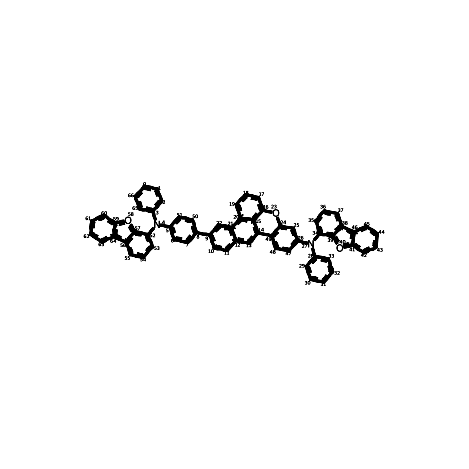 c1ccc(N(c2ccc(-c3ccc4cc5c6c(cccc6c4c3)Oc3cc(N(c4ccccc4)c4cccc6c4oc4ccccc46)ccc3-5)cc2)c2cccc3c2oc2ccccc23)cc1